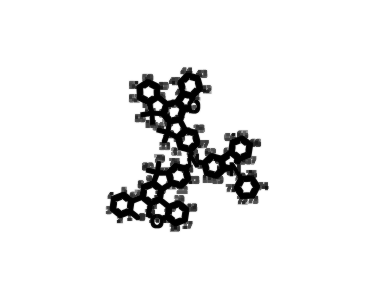 Cc1ccccc1-c1cc2c(c3c1COc1ccccc1-3)-c1ccc(N(c3ccc4c(c3)C(C)(C)c3c5c(c6c(oc7ccccc76)c3-4)-c3ccccc3C5(C)C)c3ccc4c(c3)c3ccccc3n4-c3ccccc3)cc1C2(C)C